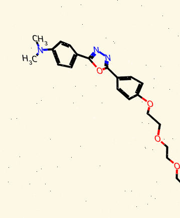 CN(C)c1ccc(-c2nnc(-c3ccc(OCCOCCOCCF)cc3)o2)cc1